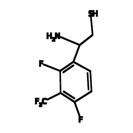 NC(CS)c1ccc(F)c(C(F)(F)F)c1F